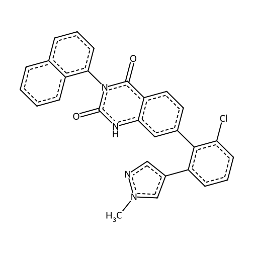 Cn1cc(-c2cccc(Cl)c2-c2ccc3c(=O)n(-c4cccc5ccccc45)c(=O)[nH]c3c2)cn1